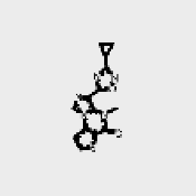 Cn1c(=O)c2sccc2n2cnc(-c3nc(C4CC4)no3)c12